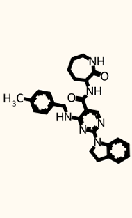 Cc1ccc(CNc2nc(N3CCc4ccccc43)ncc2C(=O)NC2CCCCNC2=O)cc1